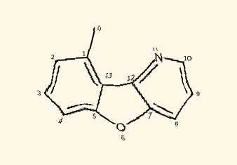 Cc1cccc2oc3cccnc3c12